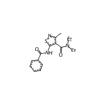 CCN(CC)C(=O)c1c(C)nsc1NC(=O)c1ccccc1